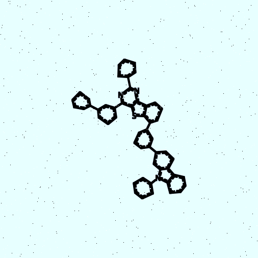 c1ccc(-c2cccc(-c3nc(-c4ccccc4)nc4c3sc3c(-c5cccc(-c6ccc7c8ccccc8n(-c8ccccc8)c7c6)c5)cccc34)c2)cc1